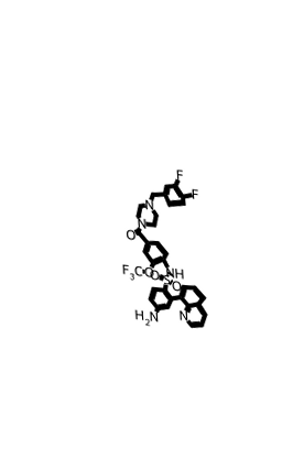 Nc1ccc(S(=O)(=O)Nc2ccc(C(=O)N3CCN(Cc4ccc(F)c(F)c4)CC3)cc2OC(F)(F)F)c(-c2cccc3cccnc23)c1